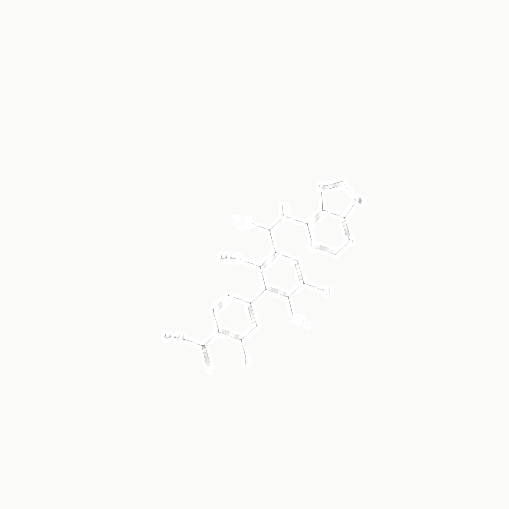 CNC(=O)c1ccc(-c2c(C)c(Cl)cc(C(C)Nc3ncnc4[nH]cnc34)c2OC)cc1F